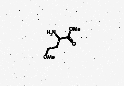 COCCC(N)C(=O)OC